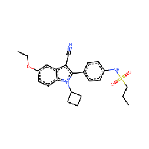 CCCS(=O)(=O)Nc1ccc(-c2c(C#N)c3cc(OCC)ccc3n2C2CCC2)cc1